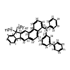 CCCC1(CCC)c2ccccc2-c2cc3ccc4c(N(c5ccccc5)c5cccc(-c6ccccc6)c5)cccc4c3cc21